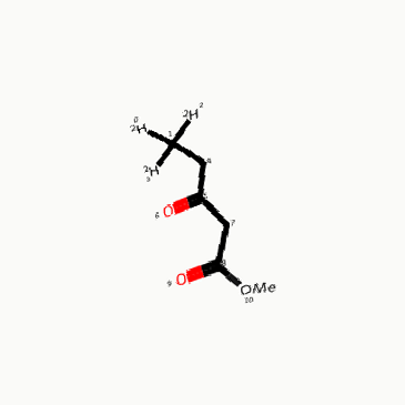 [2H]C([2H])([2H])CC(=O)CC(=O)OC